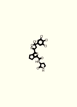 O=C(NC1CCNC1=O)c1sc(C2=NOC(c3cc(Cl)c(Cl)c(Cl)c3)(C(F)(F)F)C2)c2c1CCC2